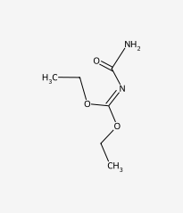 CCOC(=NC(N)=O)OCC